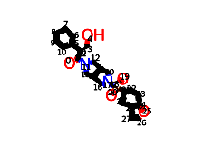 O=C([C@H](CO)c1ccccc1)N1CC2=C(C1)CN(S(=O)(=O)c1ccc3occc3c1)C2